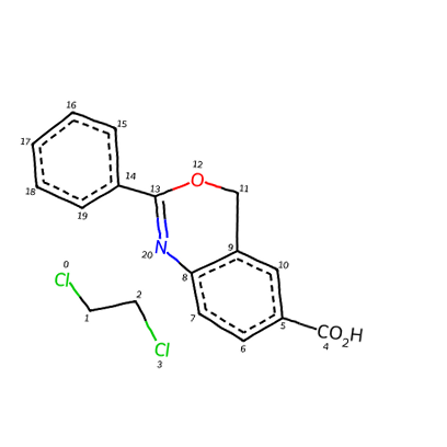 ClCCCl.O=C(O)c1ccc2c(c1)COC(c1ccccc1)=N2